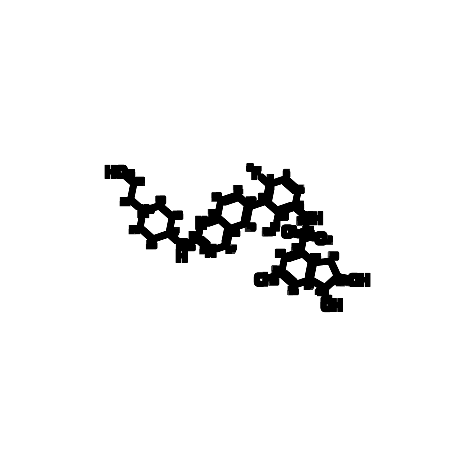 O=S(=O)(Nc1ccc(F)c(-c2ccc3nc(NC4CCN(CCO)CC4)ncc3c2)c1F)c1cc(Cl)cc2c1CC(O)C2O